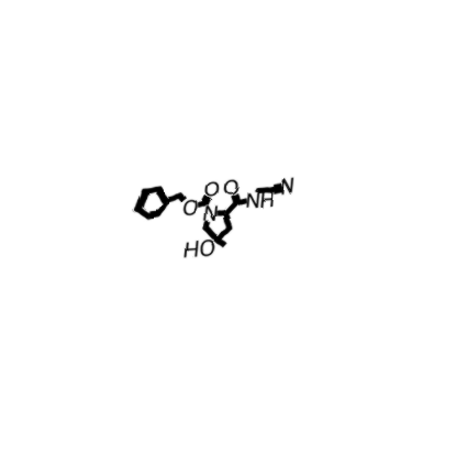 CC1(O)CC(C(=O)NCC#N)N(C(=O)OCc2ccccc2)C1